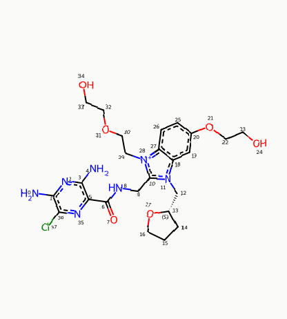 Nc1nc(N)c(C(=O)NCc2n(C[C@@H]3CCCO3)c3cc(OCCO)ccc3[n+]2CCOCCO)nc1Cl